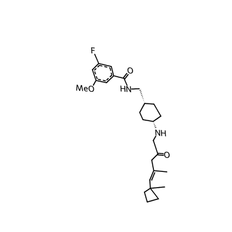 COc1cc(F)cc(C(=O)NC[C@H]2CC[C@@H](NCC(=O)C/C(C)=C/C3(C)CCC3)CC2)c1